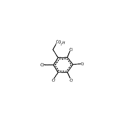 O=C(O)Cc1c(Cl)c(Cl)c(Cl)c(Cl)c1Cl